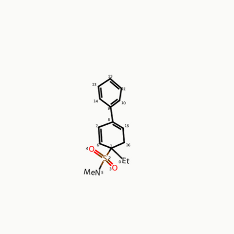 CCC1(S(=O)(=O)NC)C=CC(c2ccccc2)=CC1